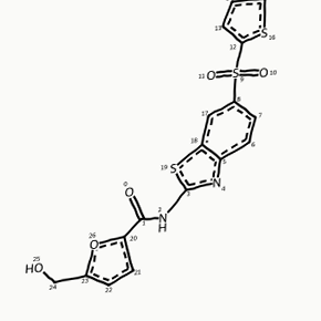 O=C(Nc1nc2ccc(S(=O)(=O)c3cccs3)cc2s1)c1ccc(CO)o1